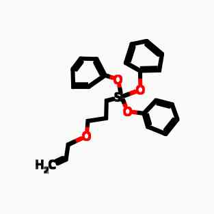 C=CCOCCC[Si](Oc1ccccc1)(Oc1ccccc1)Oc1ccccc1